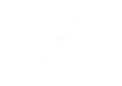 N#Cc1cccc(Nc2nccc(-c3cccc(Cn4cncn4)c3)n2)c1